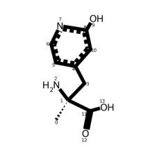 C[C@](N)(Cc1ccnc(O)c1)C(=O)O